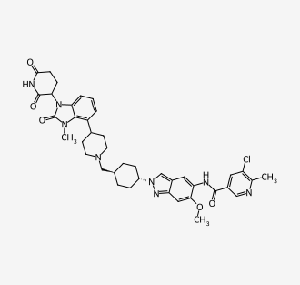 COc1cc2nn([C@H]3CC[C@H](CN4CCC(c5cccc6c5n(C)c(=O)n6C5CCC(=O)NC5=O)CC4)CC3)cc2cc1NC(=O)c1cnc(C)c(Cl)c1